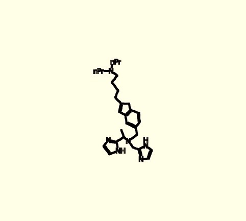 CCCN(CCC)CCCCC1=Cc2cc(CN(Cc3ncc[nH]3)C(C)c3ncc[nH]3)ccc2C1